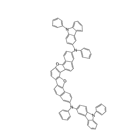 c1ccc(N(c2ccc3c(ccc4c5ccc6oc7c8ccc(N(c9ccccc9)c9ccc%10c(c9)c9ccccc9n%10-c9ccccc9)cc8ccc7c6c5oc34)c2)c2ccc3c(c2)c2ccccc2n3-c2ccccc2)cc1